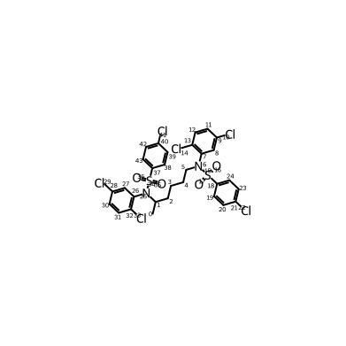 CC(CCCCN(c1cc(Cl)ccc1Cl)S(=O)(=O)c1ccc(Cl)cc1)N(c1cc(Cl)ccc1Cl)S(=O)(=O)c1ccc(Cl)cc1